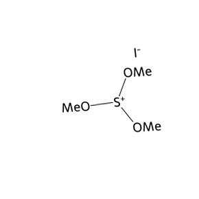 CO[S+](OC)OC.[I-]